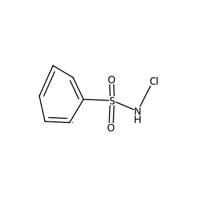 O=S(=O)(NCl)c1[c]cccc1